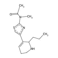 CCCC1NCCC=C1c1csc(N(C)C(C)=O)n1